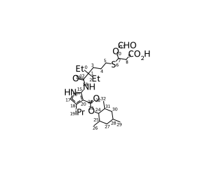 CCC(CC)(CCCSC(CC(=O)O)OC=O)C(=O)Nc1[nH]cc(C(C)C)c1C(=O)OC1C(C)CC(C)CC1C